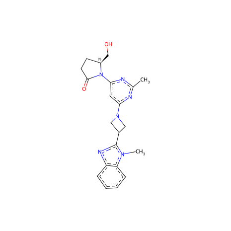 Cc1nc(N2CC(c3nc4ccccc4n3C)C2)cc(N2C(=O)CC[C@H]2CO)n1